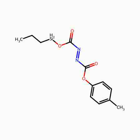 CCC[SiH2]OC(=O)N=NC(=O)Oc1ccc(C)cc1